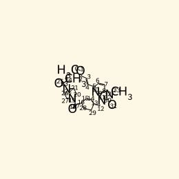 COC/C=C/c1ccc2c(n1)n(CC1CCC(C(=O)N3CCN(C(C)=O)CC3)CC1)c(=O)n2C